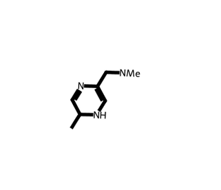 CNCC1=CNC(C)C=N1